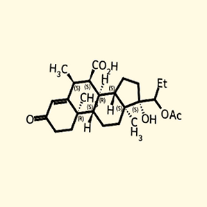 CCC(OC(C)=O)[C@]1(O)CC[C@H]2[C@@H]3[C@H](C(=O)O)[C@H](C)C4=CC(=O)CC[C@]4(C)[C@H]3CC[C@@]21C